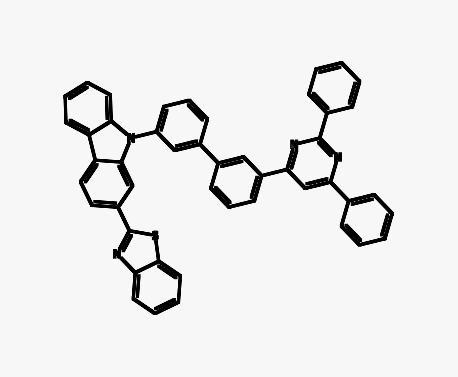 c1ccc(-c2cc(-c3cccc(-c4cccc(-n5c6ccccc6c6ccc(-c7nc8ccccc8s7)cc65)c4)c3)nc(-c3ccccc3)n2)cc1